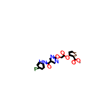 COC(=O)c1sccc1OC(=O)COc1ncc(C(=O)Nc2ccc(F)cc2)cn1